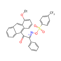 CCOc1cccc2c(C(=O)/C(=N/OS(=O)(=O)c3ccc(C(F)(F)F)cc3)c3ccccc3)c3ccccc3cc12